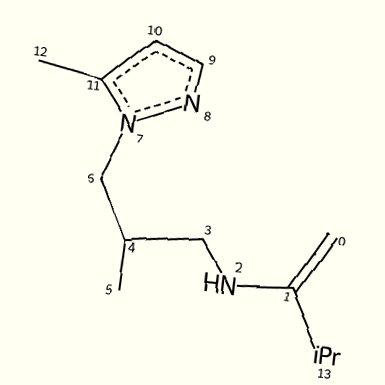 C=C(NCC(C)Cn1nccc1C)C(C)C